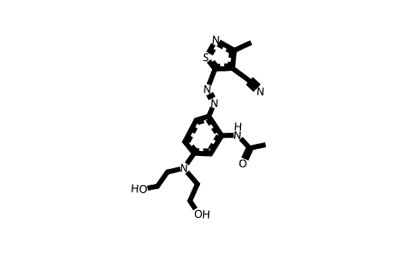 CC(=O)Nc1cc(N(CCO)CCO)ccc1/N=N/c1snc(C)c1C#N